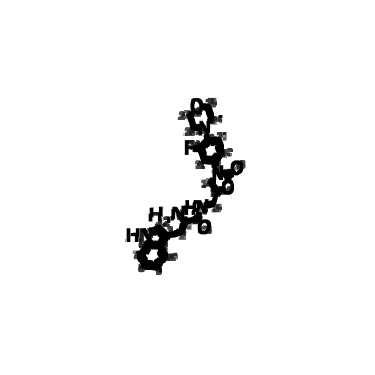 NC(Cc1c[nH]c2ccccc12)C(=O)NC[C@H]1CN(c2ccc(N3CCOCC3)c(F)c2)C(=O)O1